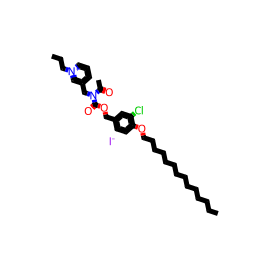 CCCCCCCCCCCCCCOc1ccc(COC(=O)N(Cc2ccc[n+](CCC)c2)C(C)=O)cc1Cl.[I-]